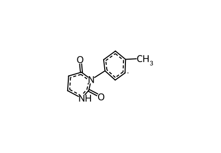 Cc1[c]cc(-n2c(=O)cc[nH]c2=O)cc1